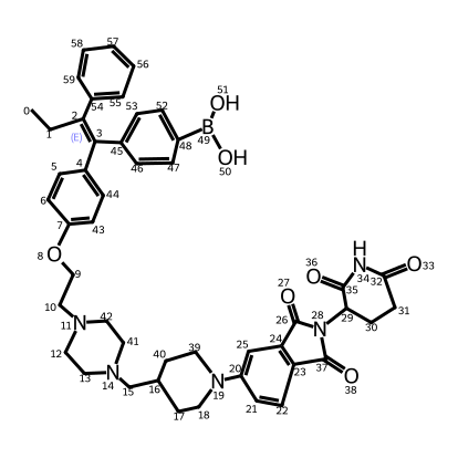 CC/C(=C(\c1ccc(OCCN2CCN(CC3CCN(c4ccc5c(c4)C(=O)N(C4CCC(=O)NC4=O)C5=O)CC3)CC2)cc1)c1ccc(B(O)O)cc1)c1ccccc1